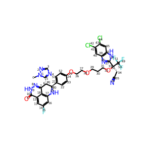 Cn1ncnc1[C@H]1c2n[nH]c(=O)c3cc(F)cc(c23)N[C@@H]1c1ccc(OCCOCCCO[C@@](CC#N)(c2nc3cc(Cl)c(Cl)cc3[nH]2)C(F)(F)F)cc1